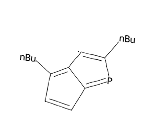 CCCCC1=[C]C2=C(CCCC)C=CC2=P1